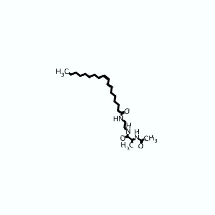 CCCCCCCC/C=C\CCCCCCCC(=O)NCCNC(=O)C(C)NC(C)=O